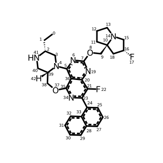 CC[C@@H]1CN2c3nc(OC[C@@]45CCCN4C[C@H](F)C5)nc4c(F)c(-c5cccc6ccccc56)nc(c34)OC[C@@H]2CN1